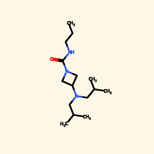 CCCNC(=O)N1CC(N(CC(C)C)CC(C)C)C1